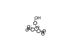 O=[N+]([O-])c1ccc2c(c1)nc(-c1ccc(CO)cc1)c1cc([N+](=O)[O-])ccc12